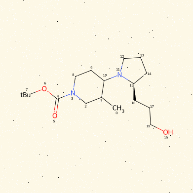 CC1CN(C(=O)OC(C)(C)C)CCC1N1CCC[C@H]1CCCO